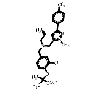 C=CCN(Cc1ccc(OC(C)(C)C(=O)O)c(Cl)c1)Cc1cc(-c2ccc(C(F)(F)F)cc2)nn1C